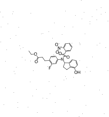 CCOC(=O)CCc1ccc(N(C2CCc3c(O)cccc32)S(=O)(=O)c2ccccc2[N+](=O)[O-])cc1F